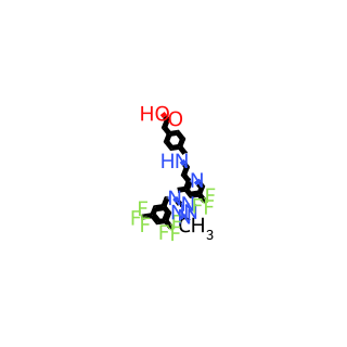 Cn1nnc(N(Cc2cc(C(F)(F)F)cc(C(F)(F)F)c2)Cc2cc(C(F)(F)F)cnc2CCNCC2CCC(CC(=O)O)CC2)n1